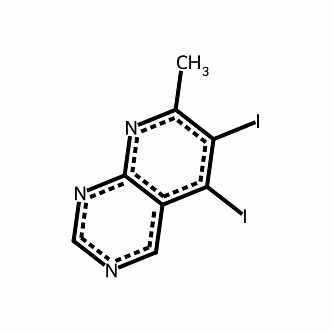 Cc1nc2ncncc2c(I)c1I